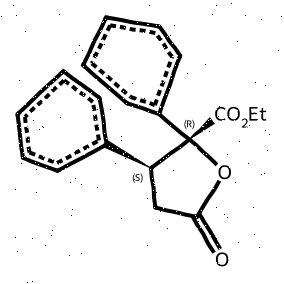 CCOC(=O)[C@@]1(c2ccccc2)OC(=O)C[C@H]1c1ccccc1